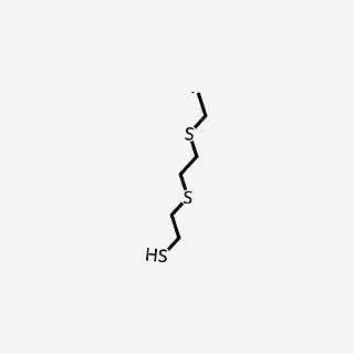 [CH2]CSCCSCCS